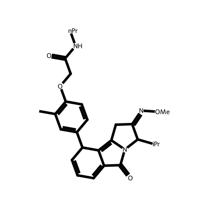 CCCNC(=O)COc1ccc(C2C=CC=C3C(=O)N4C(=C32)CC(=NOC)C4C(C)C)cc1C